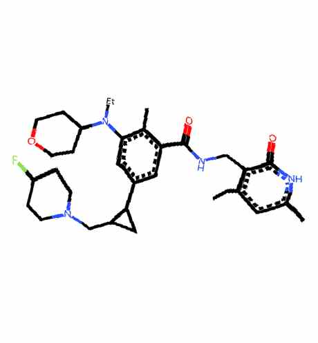 CCN(c1cc(C2CC2CN2CCC(F)CC2)cc(C(=O)NCc2c(C)cc(C)[nH]c2=O)c1C)C1CCOCC1